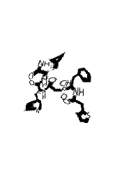 NC(=O)[C@H](CC1CC1)NC(=O)[C@H](Cc1ccncc1)NC(=O)CP(=O)(O)C(Cc1ccccc1)NC(=O)Cc1cccs1